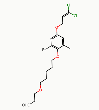 CCc1cc(OCC=C(Cl)Cl)cc(C)c1OCCCCCOCCC=O